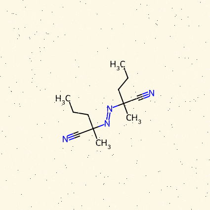 CCCC(C)(C#N)N=NC(C)(C#N)CCC